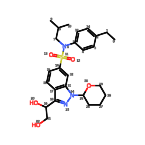 CCc1ccc(N(CC(C)C)S(=O)(=O)c2ccc3c(C(O)CO)nn(C4CCCCO4)c3c2)cc1